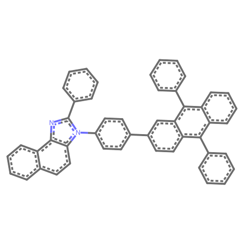 c1ccc(-c2c3ccccc3c(-c3ccccc3)c3cc(-c4ccc(-n5c(-c6ccccc6)nc6c7ccccc7ccc65)cc4)ccc23)cc1